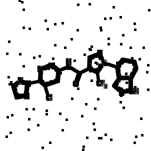 O=C(Nc1cnc(-n2nccn2)c(Cl)c1)c1cnn(-c2cccc3[nH]ncc23)c1C(F)(F)F